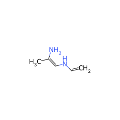 C=CN/C=C(/C)N